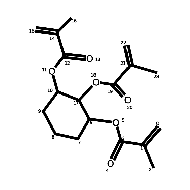 C=C(C)C(=O)OC1CCCC(OC(=O)C(=C)C)C1OC(=O)C(=C)C